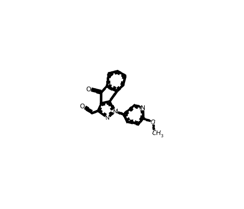 COc1ccc(-n2nc(C=O)c3c2-c2ccccc2C3=O)cn1